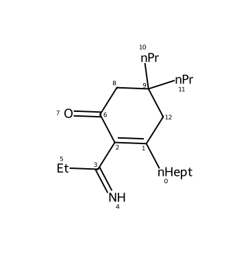 CCCCCCCC1=C(C(=N)CC)C(=O)CC(CCC)(CCC)C1